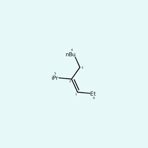 CCC=C(CCCCC)C(C)C